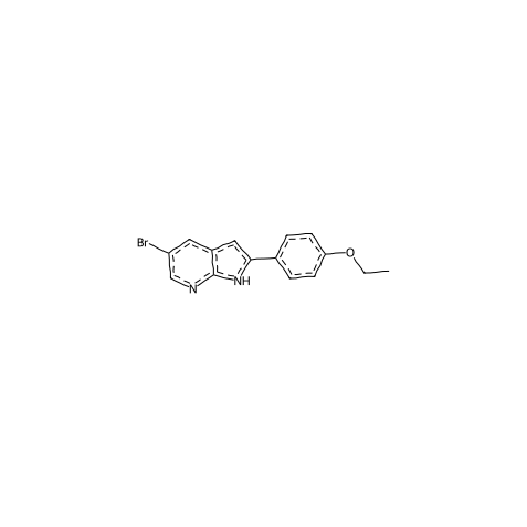 CCOc1ccc(-c2cc3cc(Br)cnc3[nH]2)cc1